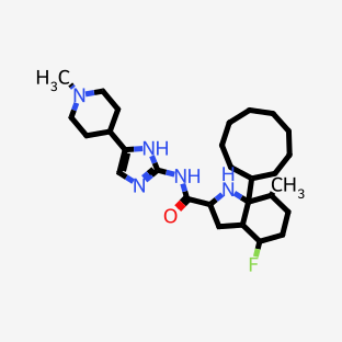 CC1CCC(F)C2CC(C(=O)Nc3ncc(C4CCN(C)CC4)[nH]3)NC12C1CCCCCCCC1